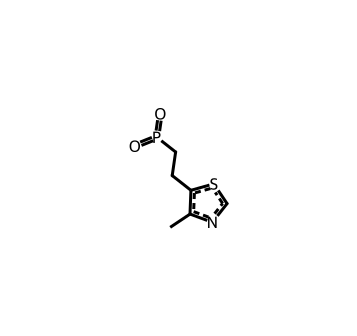 Cc1ncsc1CCP(=O)=O